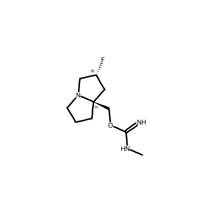 CNC(=N)OC[C@@]12CCCN1C[C@H](F)C2